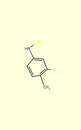 Cc1ccc(NS)cc1F